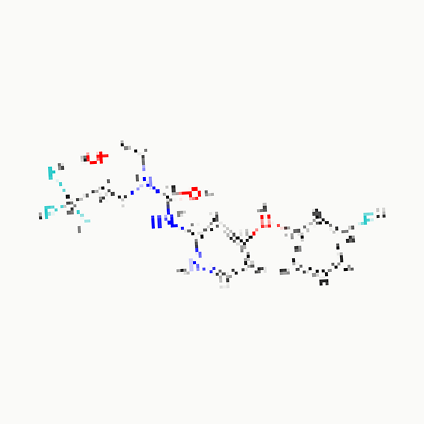 CCN(C[C@@H](O)C(F)(F)F)C(=O)Nc1cc(Oc2cccc(F)c2)ccn1